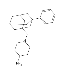 NC1CCN(CC23CC4CC(C2)CC(c2ccccc2)(C4)C3)CC1